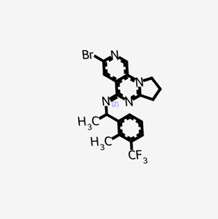 Cc1c(C(C)/N=c2\nc3n(c4cnc(Br)cc24)CCC3)cccc1C(F)(F)F